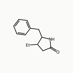 CCC1CC(=O)NC1Cc1ccccc1